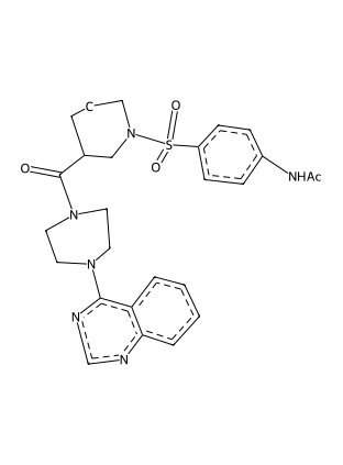 CC(=O)Nc1ccc(S(=O)(=O)N2CCCC(C(=O)N3CCN(c4ncnc5ccccc45)CC3)C2)cc1